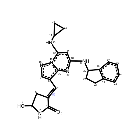 O=C1NC(O)C/C1=C\c1cnn2c(NC3CC3)cc(NC3CCc4ccccc43)nc12